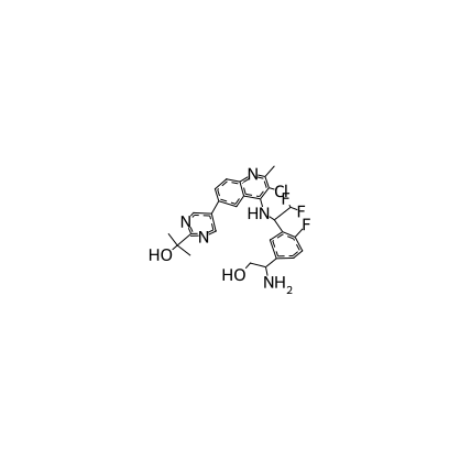 Cc1nc2ccc(-c3cnc(C(C)(C)O)nc3)cc2c(NC(c2cc(C(N)CO)ccc2F)C(F)F)c1Cl